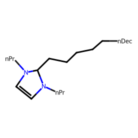 CCCCCCCCCCCCCCCC1N(CCC)C=CN1CCC